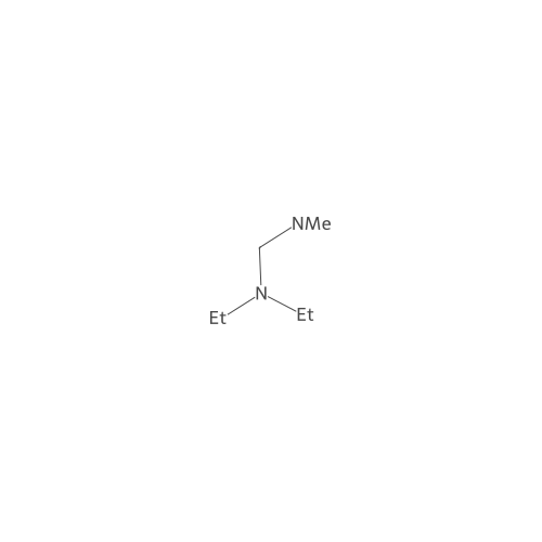 CCN(CC)CNC